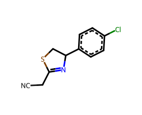 N#CCC1=NC(c2ccc(Cl)cc2)CS1